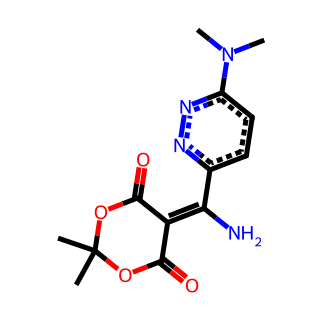 CN(C)c1ccc(C(N)=C2C(=O)OC(C)(C)OC2=O)nn1